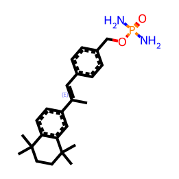 C/C(=C\c1ccc(COP(N)(N)=O)cc1)c1ccc2c(c1)C(C)(C)CCC2(C)C